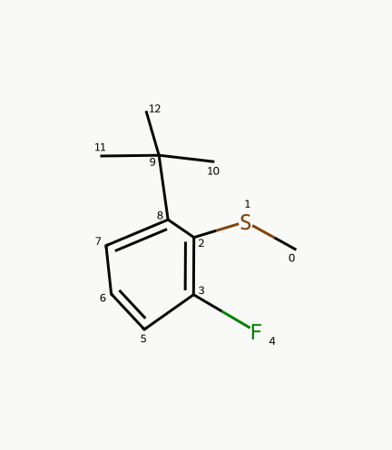 CSc1c(F)cccc1C(C)(C)C